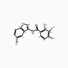 O=C(Nc1noc2ccc(Br)cc12)c1ccc(F)c(F)c1F